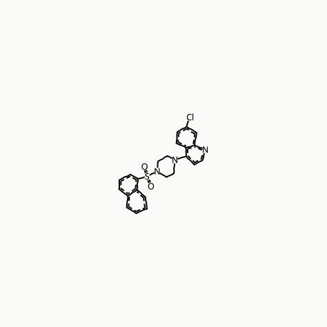 O=S(=O)(c1cccc2ccccc12)N1CCN(c2ccnc3cc(Cl)ccc23)CC1